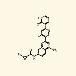 Cc1cc(-c2ccc[nH]c2=O)ncc1-c1cc2cc(NC(=O)C3C[C@H]3F)ncc2c(N)n1